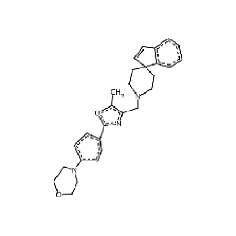 Cc1oc(-c2ccc(N3CCOCC3)cc2)nc1CN1CCC2(C=Cc3ccccc32)CC1